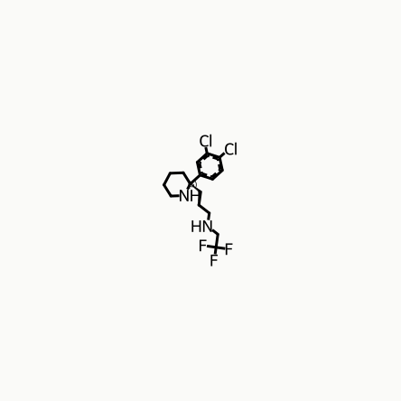 FC(F)(F)CNCCC[C@]1(c2ccc(Cl)c(Cl)c2)CCCCN1